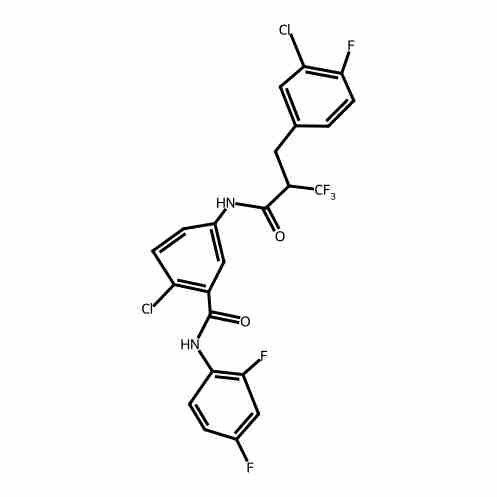 O=C(Nc1ccc(F)cc1F)c1cc(NC(=O)C(Cc2ccc(F)c(Cl)c2)C(F)(F)F)ccc1Cl